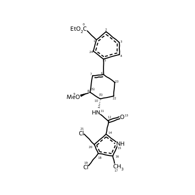 CCOC(=O)c1cccc(C2=C[C@H](OC)[C@@H](NC(=O)c3[nH]c(C)c(Cl)c3Cl)CC2)c1